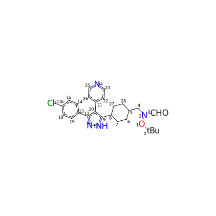 CC(C)(C)ON(C=O)CC1CCC(c2[nH]nc(-c3ccc(Cl)cc3)c2-c2ccncc2)CC1